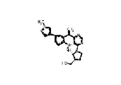 C=C(c1cc(N2CC[C@@H](CO)C2)ncn1)c1cc(-c2cnn(C)c2)ccc1NN